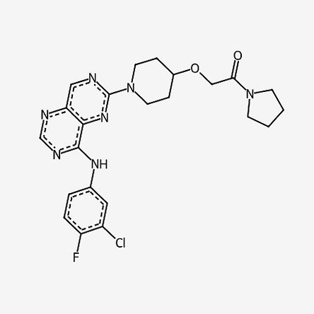 O=C(COC1CCN(c2ncc3ncnc(Nc4ccc(F)c(Cl)c4)c3n2)CC1)N1CCCC1